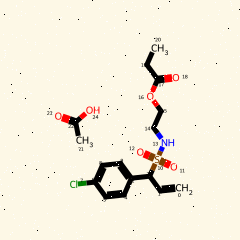 C=CC(c1ccc(Cl)cc1)S(=O)(=O)NCCOC(=O)CC.CC(=O)O